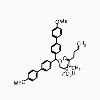 C=CCCC(=O)N(C)[C@@H](COC(c1ccc(-c2ccc(OC)cc2)cc1)c1ccc(-c2ccc(OC)cc2)cc1)C(=O)O